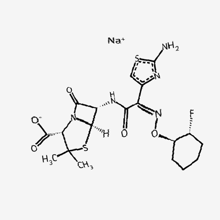 CC1(C)S[C@@H]2[C@@H](NC(=O)/C(=N\O[C@@H]3CCCC[C@H]3F)c3csc(N)n3)C(=O)N2[C@H]1C(=O)[O-].[Na+]